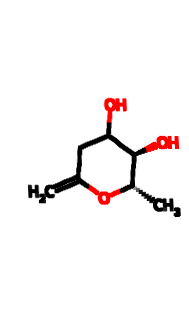 C=C1CC(O)[C@@H](O)[C@H](C)O1